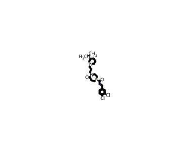 CN(C)C1CCCN(CCCN2CCN(C(=O)/C=C/c3ccc(Cl)c(Cl)c3)CCC2=O)C1